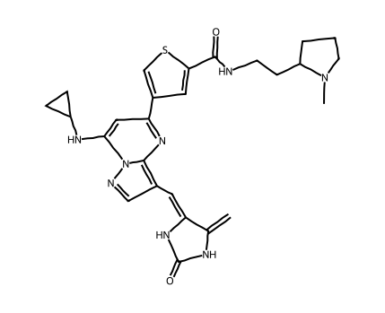 C=c1[nH]c(=O)[nH]/c1=C\c1cnn2c(NC3CC3)cc(-c3csc(C(=O)NCCC4CCCN4C)c3)nc12